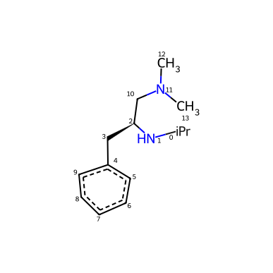 CC(C)N[C@@H](Cc1ccccc1)CN(C)C